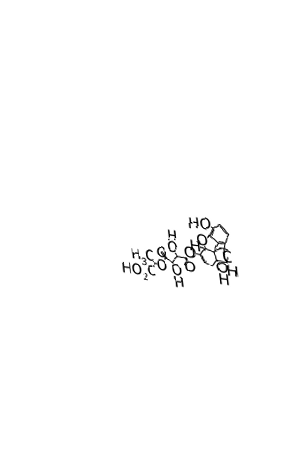 C[C@H](OC(=O)[C@H](O)[C@@H](O)C(=O)OC1=CC[C@@]2(O)[C@@H]3CCC[C@@]24c2c(ccc(O)c2O[C@@H]14)C3)C(=O)O